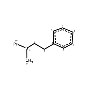 CB(CCc1ccccc1)C(C)C